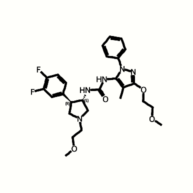 COCCOc1nn(-c2ccccc2)c(NC(=O)N[C@@H]2CN(CCOC)C[C@H]2c2ccc(F)c(F)c2)c1C